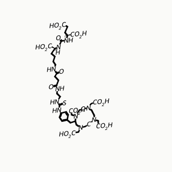 O=C(O)CC[C@H](NC(=O)N[C@@H](CCCCNC(=O)CCC(=O)NCCNC(=S)Nc1ccc(CC2CN(CC(=O)O)CCN(CC(=O)O)CCN(CC(=O)O)CCN2CC(=O)O)cc1)C(=O)O)C(=O)O